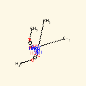 CCCCCCCCCCCCCCCCCCN(CCCCCCCCCCCCCCCCCC)c1nc(NN(O)C(=O)c2ccc(OCCCCCCCC)cc2)nc(NN(O)C(=O)c2ccc(OCCCCCCCC)cc2)n1